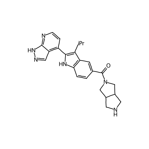 CC(C)c1c(-c2ccnc3[nH]ncc23)[nH]c2ccc(C(=O)N3CC4CNCC4C3)cc12